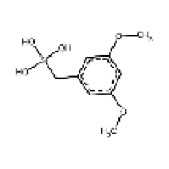 COc1cc(C[Si](O)(O)O)cc(OC)c1